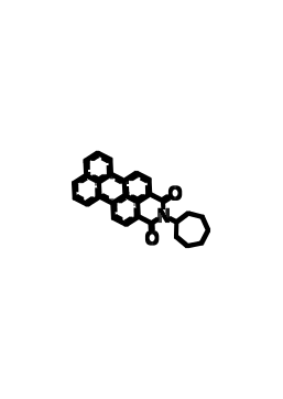 O=C1c2ccc3c4cccc5cccc(c6ccc(c2c36)C(=O)N1C1CCCCCC1)c54